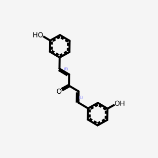 O=C(/C=C/c1cccc(O)c1)/C=C/c1cccc(O)c1